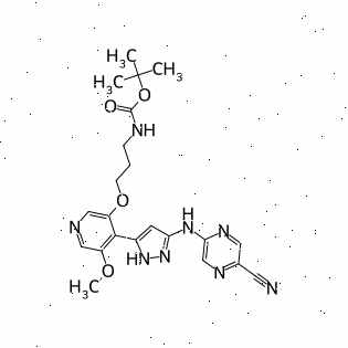 COc1cncc(OCCCNC(=O)OC(C)(C)C)c1-c1cc(Nc2cnc(C#N)cn2)n[nH]1